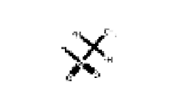 [2H]C([2H])(C)S(=O)(=O)Cl